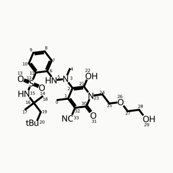 Cc1c(N(C)Nc2ccccc2S(=O)(=O)NC(C)(C)CC(C)(C)C)c(O)n(CCOCCO)c(=O)c1C#N